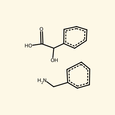 NCc1ccccc1.O=C(O)C(O)c1ccccc1